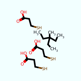 CCC(C)(CC)CC.O=C(O)CCS.O=C(O)CCS.O=C(O)CCS